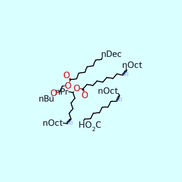 CCCCCCCC/C=C\CCCCCCCC(=O)O.CCCCCCCC/C=C\CCCCCCCC(=O)OC(CCC)CCCC/C=C\CCCCCCCC.CCCCCCCCCCCCCCCCCC(=O)OCCOCCCC